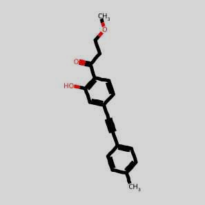 COCCC(=O)c1ccc(C#Cc2ccc(C)cc2)cc1O